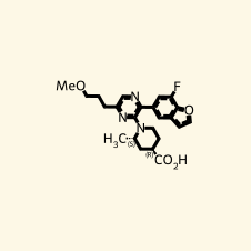 COCCCc1cnc(-c2cc(F)c3occc3c2)c(N2CC[C@@H](C(=O)O)C[C@@H]2C)n1